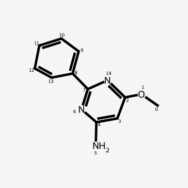 COc1cc(N)nc(-c2ccccc2)n1